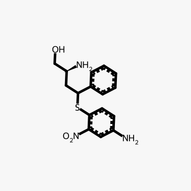 Nc1ccc(SC(C[C@H](N)CO)c2ccccc2)c([N+](=O)[O-])c1